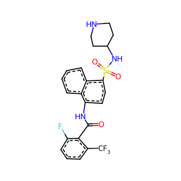 O=C(Nc1ccc(S(=O)(=O)NC2CCNCC2)c2ccccc12)c1c(F)cccc1C(F)(F)F